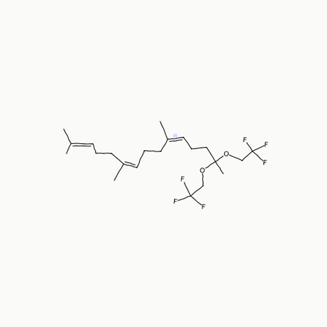 CC(C)=CCCC(C)=CCC/C(C)=C\CCC(C)(OCC(F)(F)F)OCC(F)(F)F